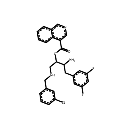 CCc1cccc(CNCC(OC(=O)c2cncc3ccccc23)C(N)Cc2cc(F)cc(F)c2)c1